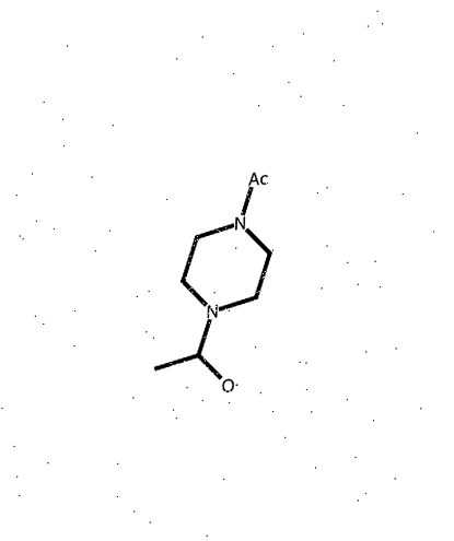 CC(=O)N1CCN(C(C)[O])CC1